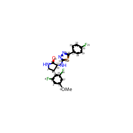 COc1cc(F)c([C@@H]2CNC(=O)[C@H]2Nc2nnc(-c3ccc(F)cc3)s2)c(F)c1